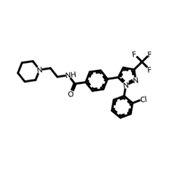 O=C(NCCN1CCCCC1)c1ccc(-c2cc(C(F)(F)F)nn2-c2ccccc2Cl)cc1